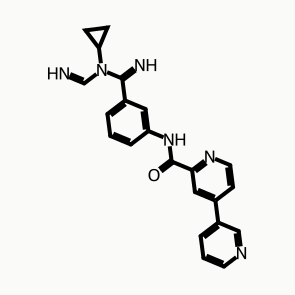 N=CN(C(=N)c1cccc(NC(=O)c2cc(-c3cccnc3)ccn2)c1)C1CC1